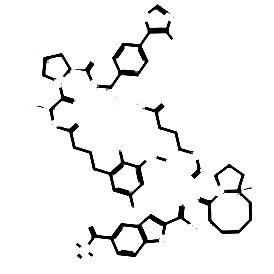 Cc1ncsc1-c1ccc([C@H](C)NC(=O)[C@@H]2C[C@@H](C)CN2C(=O)[C@@H](NC(=O)CCCc2cc(F)cc(OC[C@H](CCC(N)=O)NC(=O)[C@@H]3CC[C@@H]4CCCC[C@H](NC(=O)c5cc6cc(C(=O)P(=O)(O)O)ccc6[nH]5)C(=O)N43)c2Cl)C(C)(C)C)cc1